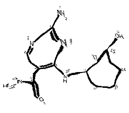 NC(=O)c1cnc(N)nc1N[C@@H]1CCC[C@H](O)C1